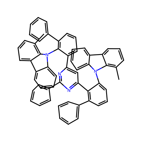 Cc1cccc2c3ccccc3n(-c3cccc(-c4ccccc4)c3-c3cc(-c4cccc(-c5ccccc5)c4-n4c5ccccc5c5cccc(C)c54)nc(-c4ccccc4)n3)c12